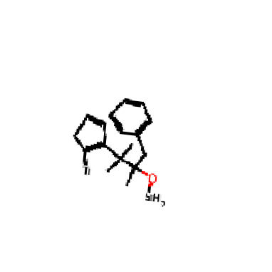 CC(Cc1ccccc1)(O[SiH3])C(C)(C)C1=[C]([Ti])CC=C1